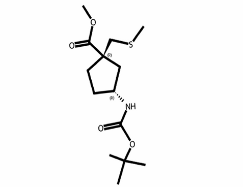 COC(=O)[C@@]1(CSC)CC[C@@H](NC(=O)OC(C)(C)C)C1